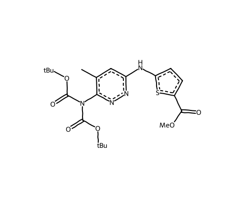 COC(=O)c1ccc(Nc2cc(C)c(N(C(=O)OC(C)(C)C)C(=O)OC(C)(C)C)nn2)s1